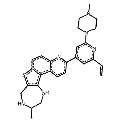 C=Cc1cc(-c2ccc3c(ccc4sc5c(c43)NC[C@@H](C)NC5)n2)cc(N2CCN(C)CC2)n1